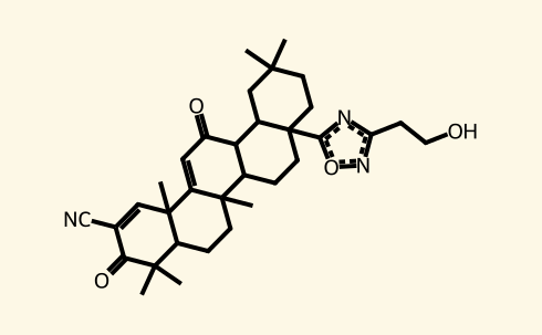 CC1(C)CCC2(c3nc(CCO)no3)CCC3C(C(=O)C=C4C5(C)C=C(C#N)C(=O)C(C)(C)C5CCC43C)C2C1